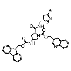 O=C(NC1CC(C(=O)NC[C@@H]2CC(Br)=NO2)N(C(=O)OCc2cnc3ccccc3c2)C1)OCC1c2ccccc2-c2ccccc21